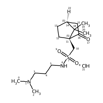 CN(C)CCCNS(=O)(=O)C[C@]12CC[C@@H](CC1=O)C2(C)C.Cl